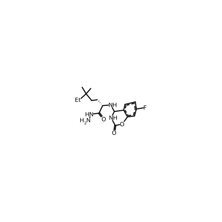 CCC(C)(C)CC[C@H](NC1NC(=O)Oc2cc(F)ccc21)C(=O)NN